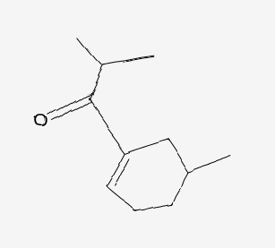 CC1CCC=C(C(=O)C(C)C)C1